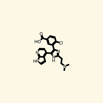 CN(C)CCc1nc(-c2cc(C(=O)O)ccc2Cl)c(-c2ccnc3[nH]ccc23)[nH]1